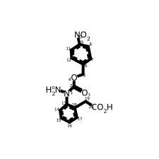 NN(C(=O)OCc1ccc([N+](=O)[O-])cc1)c1ccccc1CC(=O)O